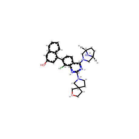 Oc1cc(-c2ccc3c(N4C[C@H]5CC[C@@H](C4)N5)nc(N4CCC5(CCOC5)C4)nc3c2F)c2ccccc2c1